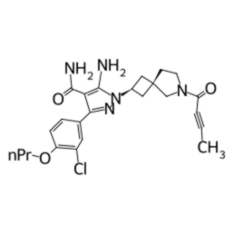 CC#CC(=O)N1CC[C@]2(C1)C[C@H](n1nc(-c3ccc(OCCC)c(Cl)c3)c(C(N)=O)c1N)C2